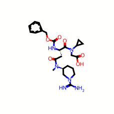 CN(C(=O)C[C@H](NC(=O)OCc1ccccc1)C(=O)N(CC(=O)O)C1CC1)[C@H]1CCCN(C(=N)N)C1